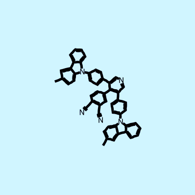 Cc1ccc2c(c1)c1ccccc1n2-c1ccc(-c2cncc(-c3ccc(-n4c5ccccc5c5cc(C)ccc54)cc3)c2-c2ccc(C#N)c(C#N)c2)cc1